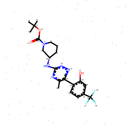 Cc1nc(N[C@@H]2CCCN(C(=O)OC(C)(C)C)C2)nnc1-c1ccc(C(F)(F)F)cc1O